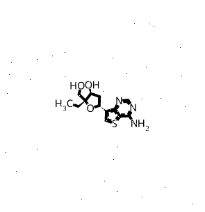 CC[C@]1(CO)O[C@@H](c2csc3c(N)ncnc23)C[C@@H]1O